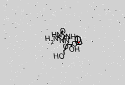 C1C2CC3CC1CC(C2)C3.Nc1nc2c(c(=O)[nH]1)NCN2C(OCCCO)C(=O)O